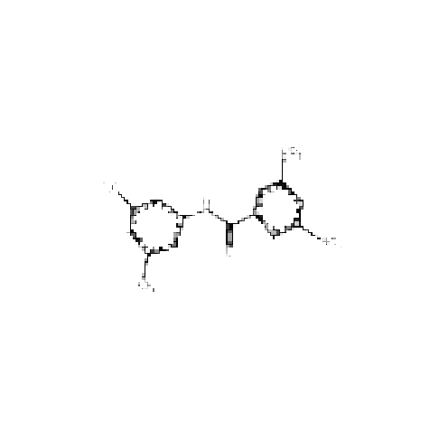 O=C(Nc1cc(C(F)(F)F)cc(C(F)(F)F)c1)c1cc([N+](=O)[O-])cc([N+](=O)[O-])c1